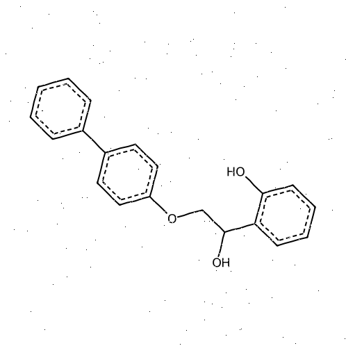 Oc1ccccc1C(O)COc1ccc(-c2ccccc2)cc1